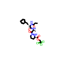 CCC(=O)N[C@@H](CCc1ccccc1)C(=O)N[C@@H](C)C(=O)N1CCC[C@@H](C(=O)OCC(Cl)(Cl)Cl)N1